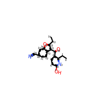 CCc1nc(O)ccc1C(=O)c1c(CC)oc2cc(C#N)ccc12